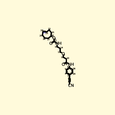 N#CC#Cc1ccc(NC(=O)CCOCCCNC(=O)O[C@@H]2CC/C=C/CCC2)cc1